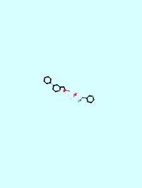 O=C(NC(Cc1cccc(F)c1)C(=O)O)OCc1cc2cc(-c3ccccc3)ccc2o1